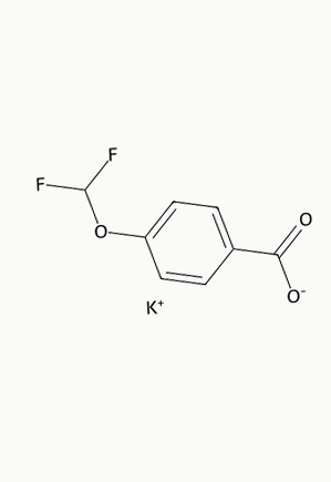 O=C([O-])c1ccc(OC(F)F)cc1.[K+]